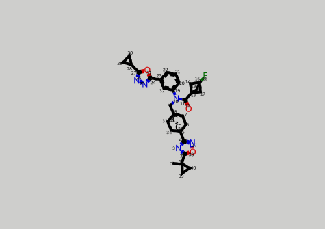 CC1(c2nc(C34CCC(CN(C(=O)C56CC(F)(C5)C6)c5cccc(-c6nnc(C7CC7)o6)c5)(CC3)CC4)no2)CC1